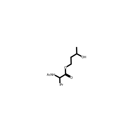 CC(=O)NC(C(=O)OCCC(C)O)C(C)C